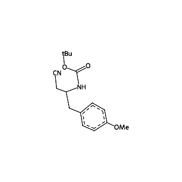 COc1ccc(CC(CC#N)NC(=O)OC(C)(C)C)cc1